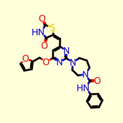 O=C1NC(=O)/C(=C\c2cc(OCc3ccco3)nc(N3CCCN(C(=O)Nc4ccccc4)CC3)n2)S1